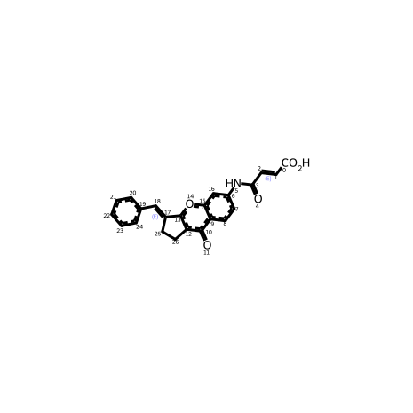 O=C(O)/C=C/C(=O)Nc1ccc2c(=O)c3c(oc2c1)/C(=C/c1ccccc1)CC3